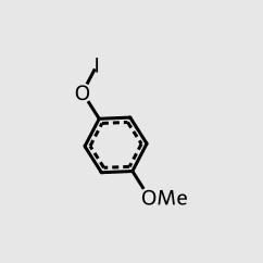 COc1ccc(OI)cc1